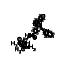 CC(=O)[C@H](CCCCNC(=O)c1ccc(-c2c(C#Cc3ccc4ccccc4n3)nc3c(N4CCOCC4)ccnn23)cc1)NC(=O)[C@H](C)N